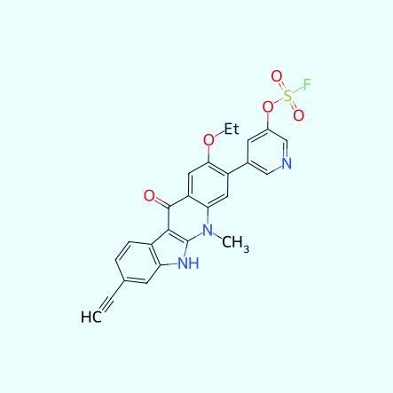 C#Cc1ccc2c(c1)[nH]c1c2c(=O)c2cc(OCC)c(-c3cncc(OS(=O)(=O)F)c3)cc2n1C